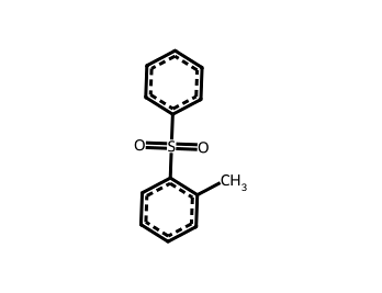 Cc1ccccc1S(=O)(=O)c1ccccc1